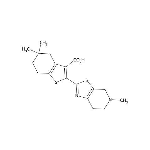 CN1CCc2nc(-c3sc4c(c3C(=O)O)CC(C)(C)CC4)sc2C1